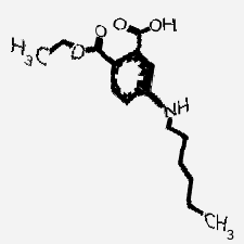 CCCCCCNc1ccc(C(=O)OCC)c(C(=O)O)c1